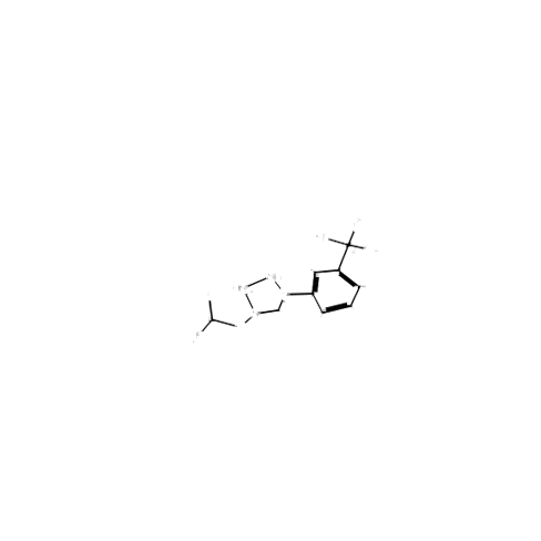 FC(F)ON1CN(c2[c]ccc(C(F)(F)F)c2)NN1